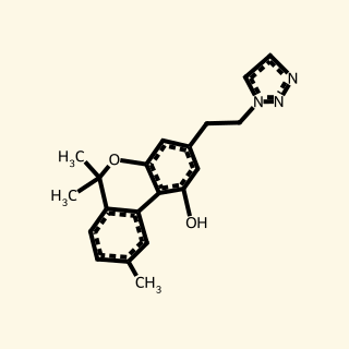 Cc1ccc2c(c1)-c1c(O)cc(CCn3ccnn3)cc1OC2(C)C